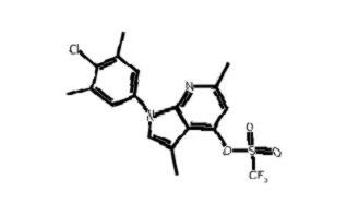 Cc1cc(OS(=O)(=O)C(F)(F)F)c2c(C)cn(-c3cc(C)c(Cl)c(C)c3)c2n1